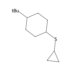 CC(C)(C)C1CCC(SC2CC2)CC1